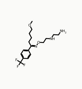 COCCCC/C(=N\OCCNCCN)c1ccc(C(F)(F)F)cc1